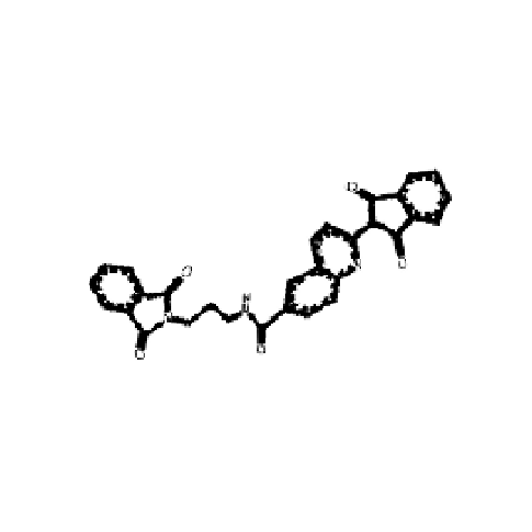 O=C(NCCCN1C(=O)c2ccccc2C1=O)c1ccc2nc(C3C(=O)c4ccccc4C3=O)ccc2c1